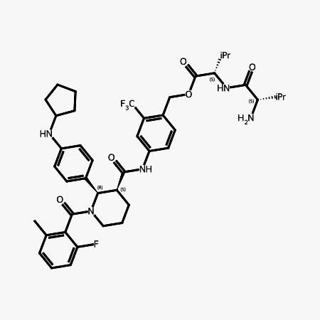 Cc1cccc(F)c1C(=O)N1CCC[C@H](C(=O)Nc2ccc(COC(=O)[C@@H](NC(=O)[C@@H](N)C(C)C)C(C)C)c(C(F)(F)F)c2)[C@@H]1c1ccc(NC2CCCC2)cc1